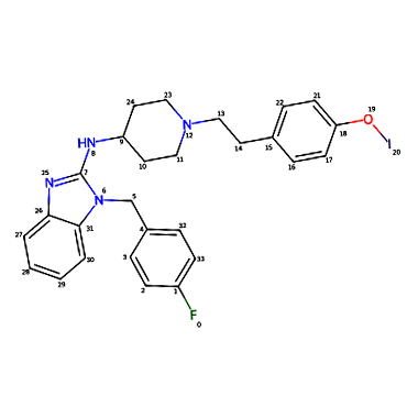 Fc1ccc(Cn2c(NC3CCN(CCc4ccc(OI)cc4)CC3)nc3ccccc32)cc1